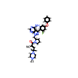 CCN1CCN(C(C)(C)C=C(C#N)C(=O)N2CCCC2Cn2nc(-c3ccc(Oc4ccccc4)cc3F)c3c(N)ncnc32)CC1